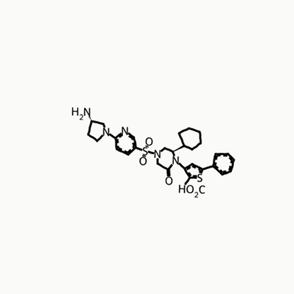 N[C@H]1CCN(c2ccc(S(=O)(=O)N3CC(=O)N(c4cc(-c5ccccc5)sc4C(=O)O)[C@H](C4CCCCC4)C3)cn2)C1